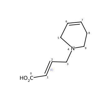 O=C(O)/C=C/CN1CC=CCC1